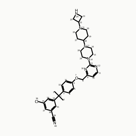 CC(C)(c1ccc(OCc2ccnc(N3CCN(C4CCN(C5CNC5)CC4)CC3)n2)cc1)c1cc(Cl)cc(C#N)c1